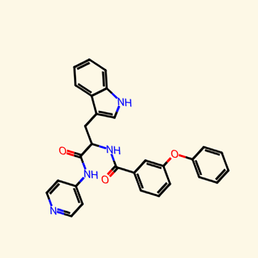 O=C(NC(Cc1c[nH]c2ccccc12)C(=O)Nc1ccncc1)c1cccc(Oc2ccccc2)c1